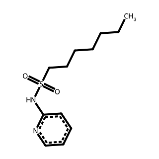 CCCCCCCS(=O)(=O)Nc1ccccn1